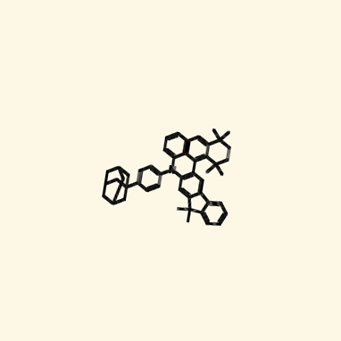 CC1(C)CCC(C)(C)c2c(-c3cc4c(cc3N(c3ccccc3)c3ccc(C56CC7CC(CC(C7)C5)C6)cc3)C(C)(C)c3ccccc3-4)cccc21